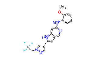 COc1ccccc1Nc1cc2[nH]c(-c3cnn(CC(F)(F)F)c3)cc2cn1